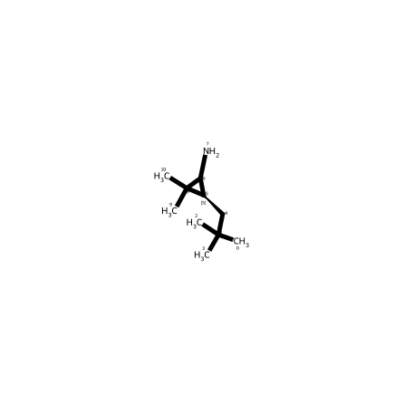 CC(C)(C)C[C@@H]1C(N)C1(C)C